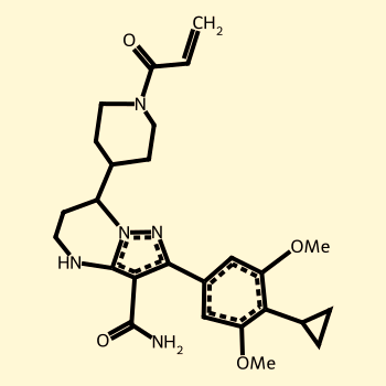 C=CC(=O)N1CCC(C2CCNc3c(C(N)=O)c(-c4cc(OC)c(C5CC5)c(OC)c4)nn32)CC1